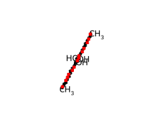 CCCCCCCCCCCCCCCCCCC(O)C(O)C(O)CCCCCCCCCCCCCCCC